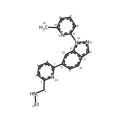 CCNCc1cccc(-c2ccc3cnn(-c4cccc(C)n4)c3c2)n1